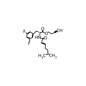 C#CCCOC(=O)[C@H](Cc1cc(F)cc(F)c1)NC(=O)/C=C/CCC(C)C